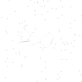 C1=NN=N[C]1Cc1ccccc1